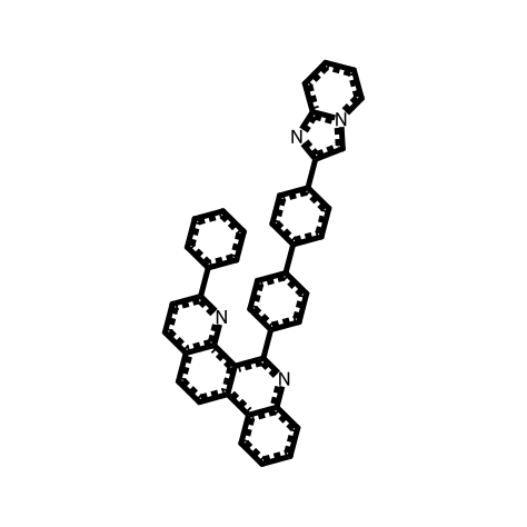 c1ccc(-c2ccc3ccc4c5ccccc5nc(-c5ccc(-c6ccc(-c7cn8ccccc8n7)cc6)cc5)c4c3n2)cc1